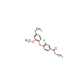 CCC(=O)c1ccc(Oc2ccc(CC)cc2OC)c(F)c1